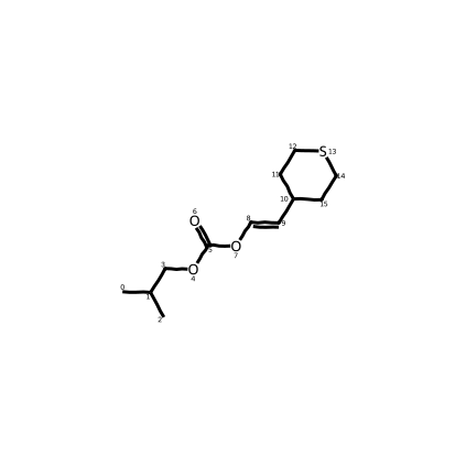 CC(C)COC(=O)OC=CC1CCSCC1